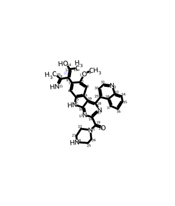 COc1cc2c(cc1/C(C(C)=N)=C(\C)O)[nH]c1nc(C(=O)N3CCNCC3)nc(-c3ccnc4ccccc34)c12